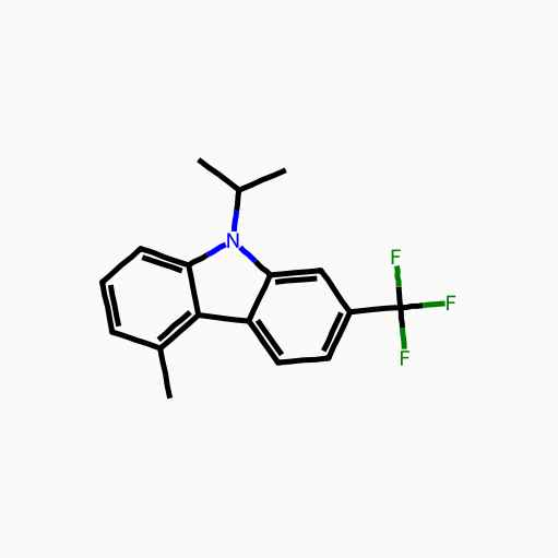 Cc1cccc2c1c1ccc(C(F)(F)F)cc1n2C(C)C